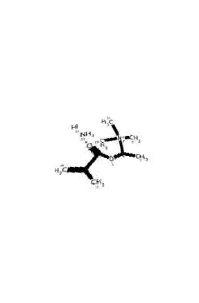 C=C(C)C(=O)OC(C)[N+](C)(C)C.I.N